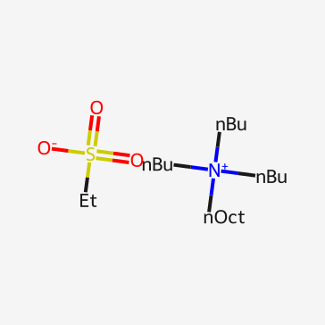 CCCCCCCC[N+](CCCC)(CCCC)CCCC.CCS(=O)(=O)[O-]